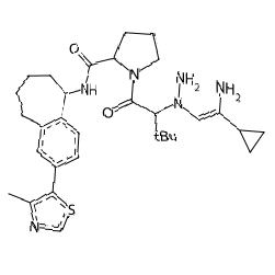 Cc1ncsc1-c1ccc2c(c1)CCCCC2NC(=O)C1CCCN1C(=O)C(N(N)/C=C(\N)C1CC1)C(C)(C)C